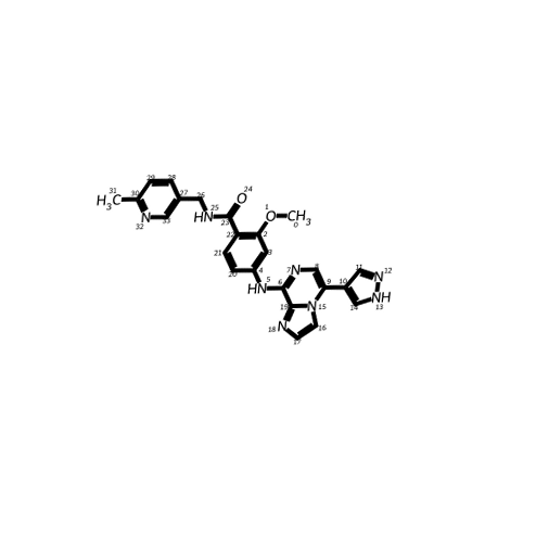 COc1cc(Nc2ncc(-c3cn[nH]c3)n3ccnc23)ccc1C(=O)NCc1ccc(C)nc1